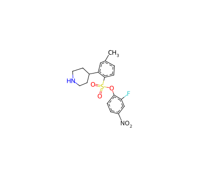 Cc1ccc(S(=O)(=O)Oc2ccc([N+](=O)[O-])cc2F)c(C2CCNCC2)c1